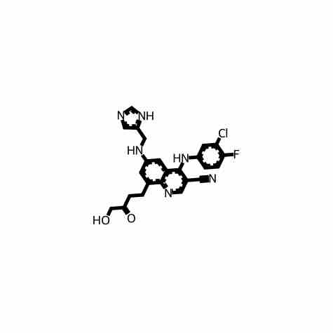 N#Cc1cnc2c(CCC(=O)CO)cc(NCc3cnc[nH]3)cc2c1Nc1ccc(F)c(Cl)c1